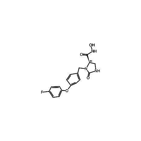 O=C(NO)[C@H]1CNC(=O)N1Cc1ccc(Oc2ccc(F)cc2)cc1